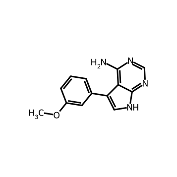 COc1cccc(-c2c[nH]c3ncnc(N)c23)c1